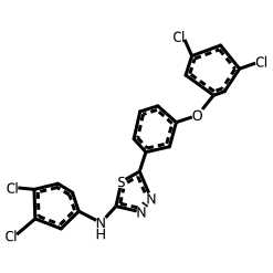 Clc1cc(Cl)cc(Oc2cccc(-c3nnc(Nc4ccc(Cl)c(Cl)c4)s3)c2)c1